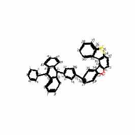 c1ccc(-c2c3ccccc3c(-c3ccc(-c4ccc5oc6ccc7sc8ccccc8c7c6c5c4)cc3)c3ccccc23)cc1